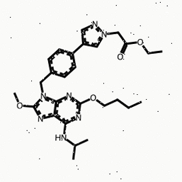 CCCCOc1nc(NC(C)C)c2nc(OC)n(Cc3ccc(-c4cnn(CC(=O)OCC)c4)cc3)c2n1